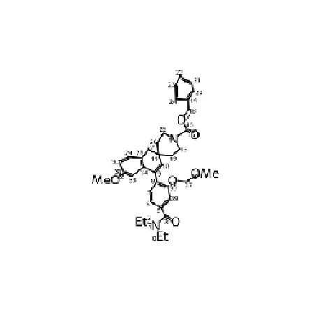 CCN(CC)C(=O)c1ccc(C2=CC3(CCN(C(=O)OCc4ccccc4)CC3)Cc3ccc(OC)cc32)c(OCOC)c1